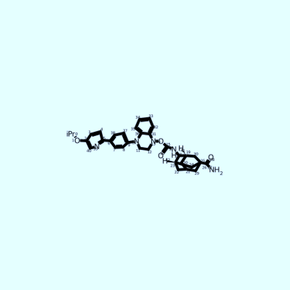 CC(C)Oc1ccc(-c2ccc(N3CCN(OC(=O)NC4[C@@H]5CC6C[C@H]4CC(C(N)=O)(C6)C5)c4ccccc43)cc2)nc1